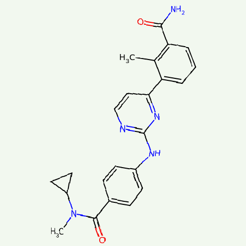 Cc1c(C(N)=O)cccc1-c1ccnc(Nc2ccc(C(=O)N(C)C3CC3)cc2)n1